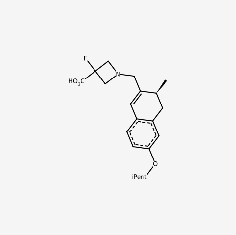 CCCC(C)Oc1ccc2c(c1)C[C@H](C)C(CN1CC(F)(C(=O)O)C1)=C2